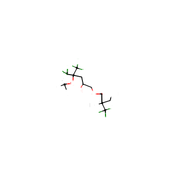 CCC(C)(C(=O)OCC(O)CC(OC(C)(C)C)(C(F)(F)F)C(F)(F)F)C(F)(F)F